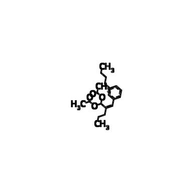 CCCCc1cccc(C=C(CCC)C(OC(C)=O)OC(C)=O)c1